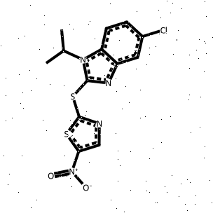 CC(C)n1c(Sc2ncc([N+](=O)[O-])s2)nc2cc(Cl)ccc21